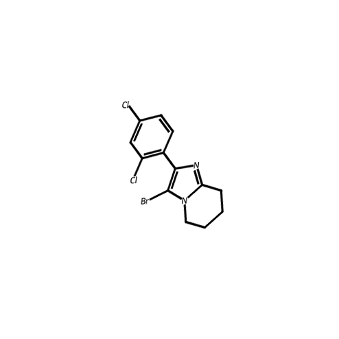 Clc1ccc(-c2nc3n(c2Br)CCCC3)c(Cl)c1